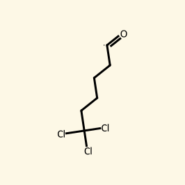 O=[C]CCCCC(Cl)(Cl)Cl